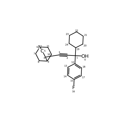 OC(C#CC1CN2CCC1CC2)(c1ccc(F)cc1)C1CCCCC1